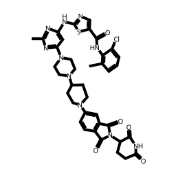 Cc1nc(Nc2ncc(C(=O)Nc3c(C)cccc3Cl)s2)cc(N2CCN(C3CCN(c4ccc5c(c4)C(=O)N(C4CCC(=O)NC4=O)C5=O)CC3)CC2)n1